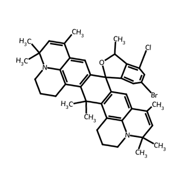 CC1=CC(C)(C)N2CCCc3c2c1cc1c3C(C)(C)c2c(cc3c4c2CCCN4C(C)(C)C=C3C)C12OC(C)c1c(Cl)cc(Br)cc12